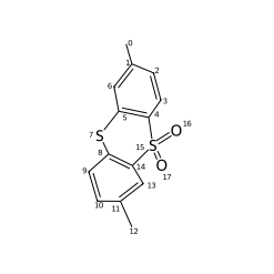 Cc1ccc2c(c1)Sc1ccc(C)cc1S2(=O)=O